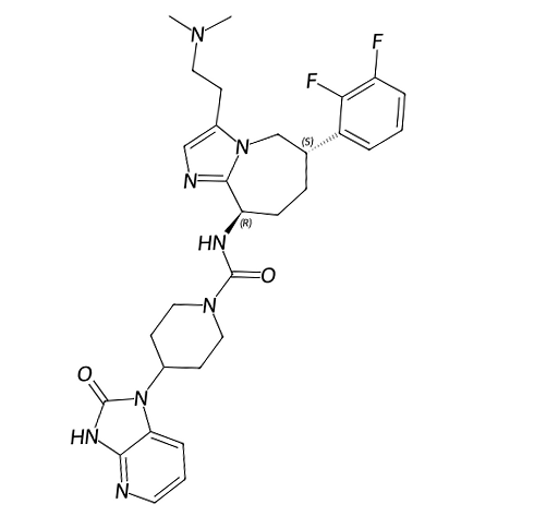 CN(C)CCc1cnc2n1C[C@H](c1cccc(F)c1F)CC[C@H]2NC(=O)N1CCC(n2c(=O)[nH]c3ncccc32)CC1